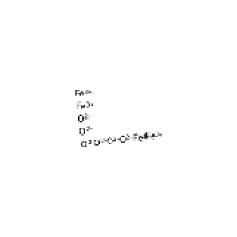 [Fe+3].[Fe+3].[Fe+3].[Fe+3].[O-2].[O-2].[O-2].[O-2].[O-2].[O-2]